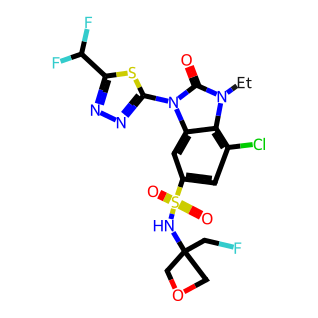 CCn1c(=O)n(-c2nnc(C(F)F)s2)c2cc(S(=O)(=O)NC3(CF)COC3)cc(Cl)c21